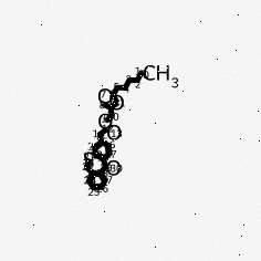 CCCCCCC1OCC(COC(=O)Cc2ccc3c(c2)SCc2ccccc2C3=O)O1